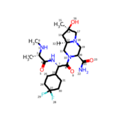 CN[C@@H](C)C(=O)N[C@H](C(=O)N1C[C@H]2C[C@@](C)(O)CN2C[C@H]1C(N)=O)C1CCC(F)(F)CC1